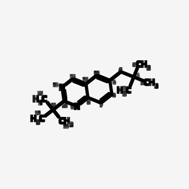 CC(C)(C)Cc1ccc2nc(C(C)(C)C)ncc2c1